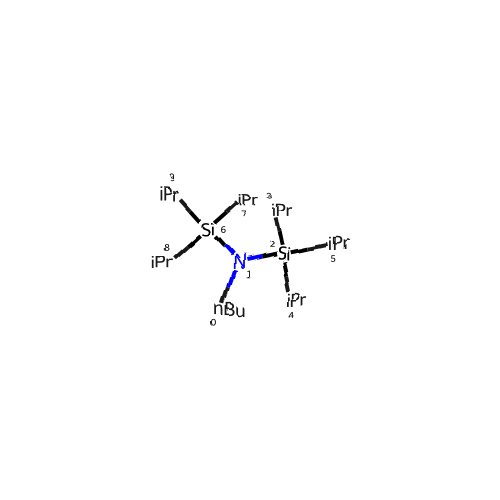 CCCCN([Si](C(C)C)(C(C)C)C(C)C)[Si](C(C)C)(C(C)C)C(C)C